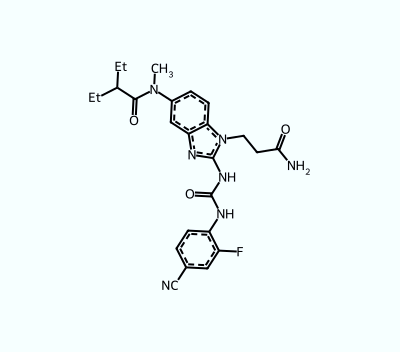 CCC(CC)C(=O)N(C)c1ccc2c(c1)nc(NC(=O)Nc1ccc(C#N)cc1F)n2CCC(N)=O